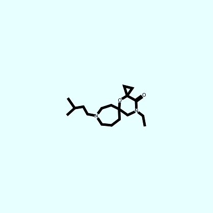 CCN1CC2(CCCN(CCC(C)C)CC2)OC2(CC2)C1=O